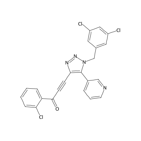 O=C(C#Cc1nnn(Cc2cc(Cl)cc(Cl)c2)c1-c1cccnc1)c1ccccc1Cl